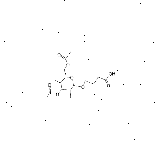 CC(=O)OCC1OC(OCCCC(=O)O)C(C)C(OC(C)=O)C1C